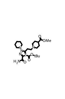 COC(=O)C1CCN(CCC2=S(C(=O)OC(C)(C)C)C(C(N)=O)=NN2N2CCCCC2)CC1